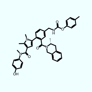 Cc1ccc(OC(=O)NCc2ccc(-c3cc(C(=O)N(C)c4ccc(O)cc4)c(C)n3C)c(C(=O)N3Cc4ccccc4C[C@H]3C)c2)cc1